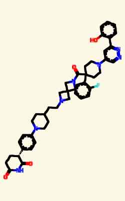 O=C1CC[C@H](c2ccc(N3CCC(CCN4CC5(C4)CN(C(=O)C4(c6ccccc6F)CCN(c6cnnc(-c7ccccc7O)c6)CC4)C5)CC3)cc2)C(=O)N1